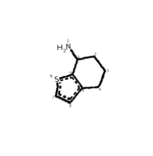 NC1CCCc2ccsc21